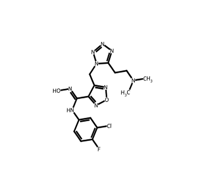 CN(C)CCc1nnnn1Cc1nonc1/C(=N/O)Nc1ccc(F)c(Cl)c1